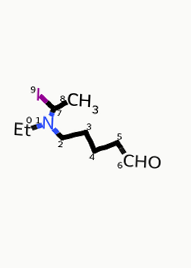 CCN(CCCCC=O)C(C)I